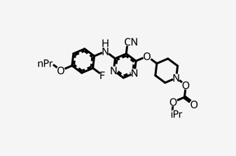 CCCOc1ccc(Nc2ncnc(OC3CCN(OC(=O)OC(C)C)CC3)c2C#N)c(F)c1